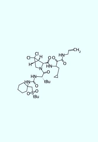 C=CCNC(=O)C(=O)C(CC1CC1)NC(=O)[C@@H]1[C@@H]2[C@H](CN1C(=O)[C@@H](NC(=O)NC1(CS(=O)(=O)C(C)(C)C)CCCCC1)C(C)(C)C)C2(Cl)Cl